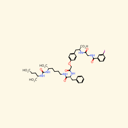 O=C(O)CC[C@H](NC(=O)N[C@@H](CCCCNC(=O)[C@H](Cc1ccccc1)NC(=O)COc1ccc(C[C@H](NC(=O)CNC(=O)c2cccc(I)c2)C(=O)O)cc1)C(=O)O)C(=O)O